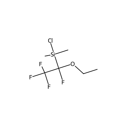 CCOC(F)(C(F)(F)F)[Si](C)(C)Cl